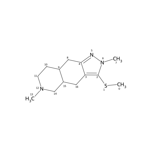 CSc1c2c(nn1C)CC1CCN(C)CC1C2